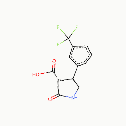 O=C(O)[C@H]1C(=O)NCC1c1cccc(C(F)(F)F)c1